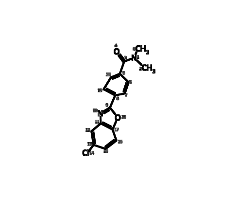 CN(C)C(=O)c1ccc(-c2nc3cc(Cl)ccc3o2)cc1